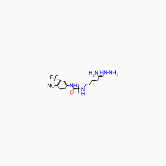 CC(C)(NCCCC/C(N)=C/NN)C(=O)Nc1ccc(C#N)c(C(F)(F)F)c1